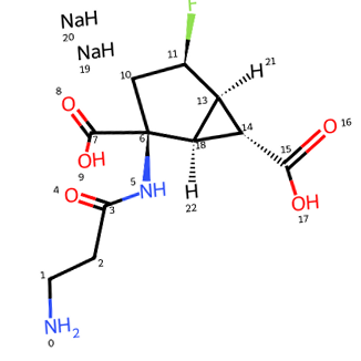 NCCC(=O)N[C@@]1(C(=O)O)C[C@@H](F)[C@H]2[C@H](C(=O)O)[C@H]21.[NaH].[NaH]